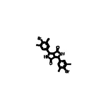 Cc1cc(C2=C3C(=O)NC(c4cc(C)c(Br)c(C)c4)=C3C(=O)N2)cc(C)c1Br